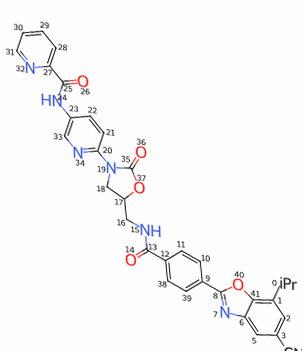 CC(C)c1cc(C#N)cc2nc(-c3ccc(C(=O)NCC4CN(c5ccc(NC(=O)c6ccccn6)cn5)C(=O)O4)cc3)oc12